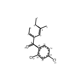 C/C=C(\C=C(C)CC)C(=O)c1ccc(Cl)cc1Cl